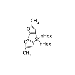 CCCCCC[Si]1(CCCCCC)c2cc(C)oc2-c2oc(C)cc21